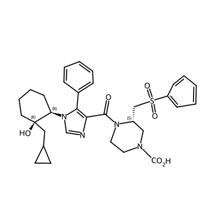 O=C(O)N1CCN(C(=O)c2ncn([C@@H]3CCCC[C@@]3(O)CC3CC3)c2-c2ccccc2)[C@H](CS(=O)(=O)c2ccccc2)C1